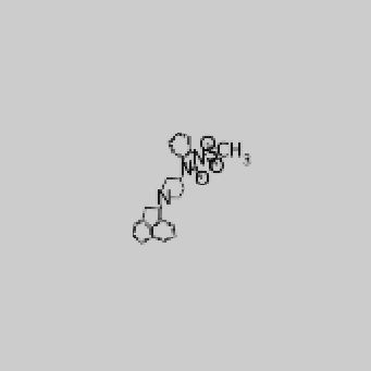 CS(=O)(=O)n1c(=O)n(C2CCN(C3Cc4cccc5cccc3c45)CC2)c2ccccc21